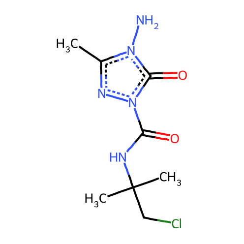 Cc1nn(C(=O)NC(C)(C)CCl)c(=O)n1N